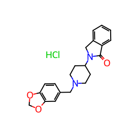 Cl.O=C1c2ccccc2CN1C1CCN(Cc2ccc3c(c2)OCO3)CC1